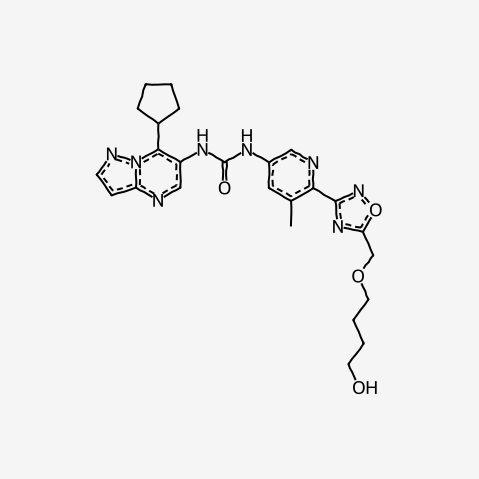 Cc1cc(NC(=O)Nc2cnc3ccnn3c2C2CCCC2)cnc1-c1noc(COCCCCO)n1